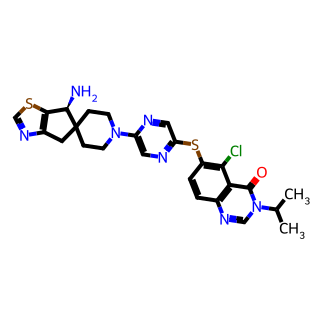 CC(C)n1cnc2ccc(Sc3cnc(N4CCC5(CC4)Cc4ncsc4[C@H]5N)cn3)c(Cl)c2c1=O